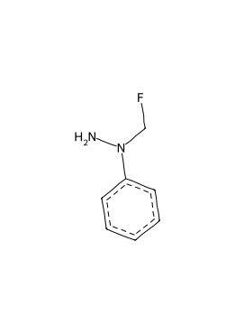 NN(CF)c1ccccc1